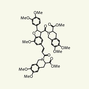 COC(=O)C1Cc2cc(OC)c(OC)cc2CN1C(=O)/C=C/c1cc(OC)c2c(c1)C(C(=O)N1Cc3cc(OC)c(OC)cc3CC1C(=O)OC)C(c1ccc(OC)c(OC)c1)O2